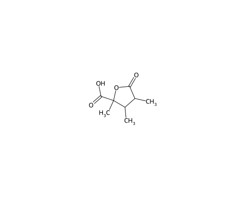 CC1C(=O)OC(C)(C(=O)O)C1C